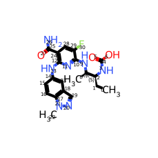 CC[C@H](NC(=O)O)[C@@H](C)Nc1nc(Nc2ccc3c(cnn3C)c2)c(C(N)=O)cc1F